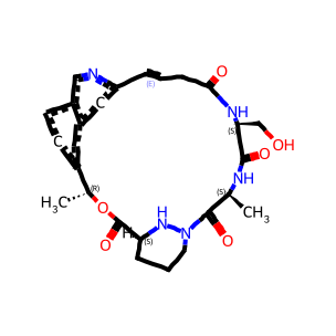 C[C@@H]1NC(=O)[C@H](CO)NC(=O)C/C=C/c2cc3cc(ccc3cn2)[C@@H](C)OC(=O)[C@@H]2CCCN(N2)C1=O